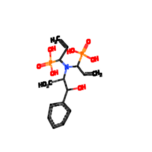 C=CC(N(C(C(=O)O)C(O)c1ccccc1)C(C=C)P(=O)(O)O)P(=O)(O)O